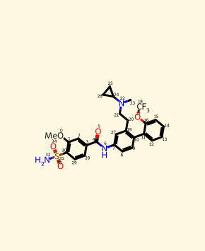 COc1cc(C(=O)Nc2ccc(-c3ccccc3OC(F)(F)F)c(CCN(C)C3CC3)c2)ccc1S(N)(=O)=O